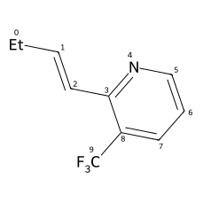 CC/C=C/c1ncccc1C(F)(F)F